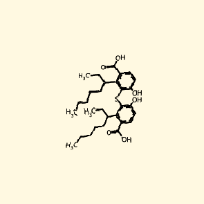 CCCCCC(CC)c1c(C(=O)O)ccc(O)c1Sc1c(O)ccc(C(=O)O)c1C(CC)CCCCC